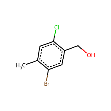 Cc1cc(Cl)c(CO)cc1Br